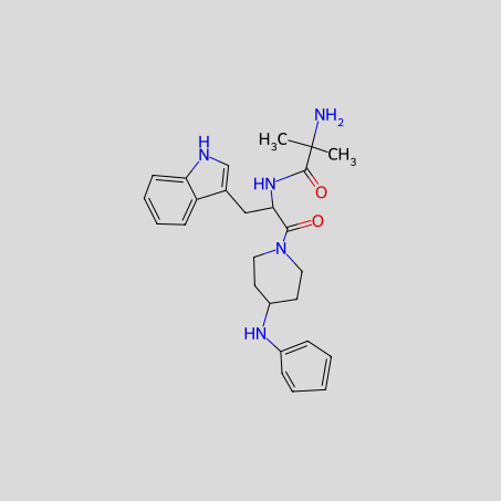 CC(C)(N)C(=O)NC(Cc1c[nH]c2ccccc12)C(=O)N1CCC(Nc2ccccc2)CC1